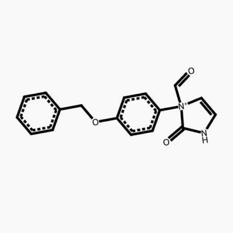 O=C[N+]1(c2ccc(OCc3ccccc3)cc2)C=CNC1=O